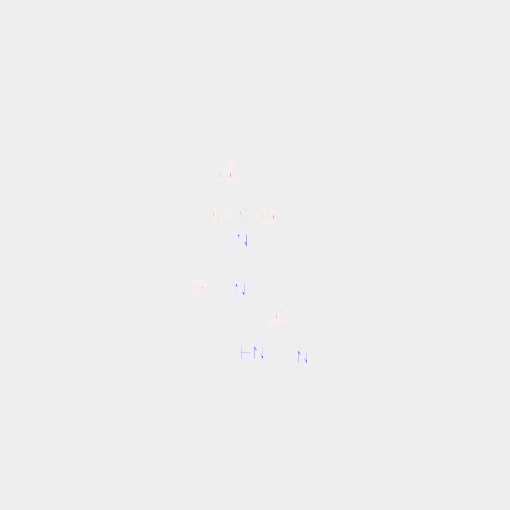 O=C(Nc1nccs1)[C@H](CC1CCCCC1)N1CCN(S(=O)(=O)c2cc3ccccc3o2)CC1=O